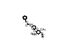 CC(=O)O[C@@H]1[C@@H](OC(C)=O)[C@H](N=[N+]=[N-])C[C@H](N=[N+]=[N-])[C@H]1O[C@@H]1CCC[C@@H](CNC(=O)OCc2ccccc2)O1